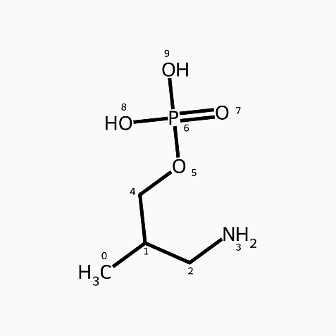 CC(CN)COP(=O)(O)O